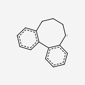 [C]1CCCc2ccccc2-c2ccccc21